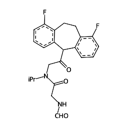 CC(C)N(CC(=O)C1c2cccc(F)c2CCc2c(F)cccc21)C(=O)CNC=O